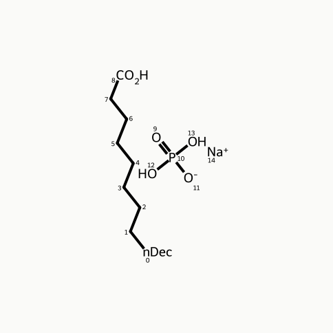 CCCCCCCCCCCCCCCCCC(=O)O.O=P([O-])(O)O.[Na+]